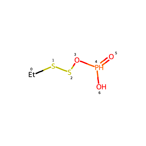 CCSSO[PH](=O)O